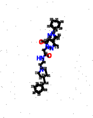 Cc1nn(CC(=O)NCCN2CCC(Cc3ccccc3)CC2)c(=O)c2nn(-c3ccccc3)c(C)c12